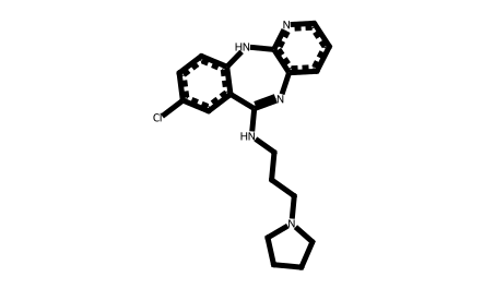 Clc1ccc2c(c1)C(NCCCN1CCCC1)=Nc1cccnc1N2